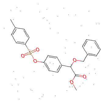 COC(=O)C(OCc1ccccc1)c1ccc(OS(=O)(=O)c2ccc(C)cc2)cc1